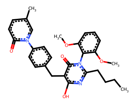 CCCCc1nc(O)c(Cc2ccc(-n3cc(C)ccc3=O)cc2)c(=O)n1-c1c(OC)cccc1OC